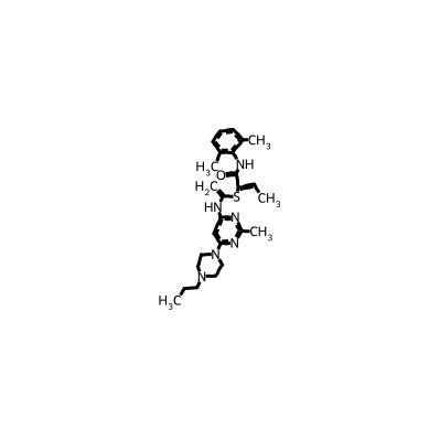 C=C(Nc1cc(N2CCN(CCC)CC2)nc(C)n1)S/C(=C\C)C(=O)Nc1c(C)cccc1C